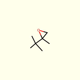 CC(C)(C)C1(C)CO1